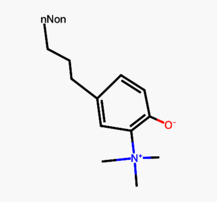 CCCCCCCCCCCCc1ccc([O-])c([N+](C)(C)C)c1